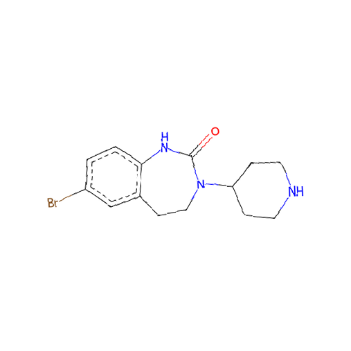 O=C1Nc2ccc(Br)cc2CCN1C1CCNCC1